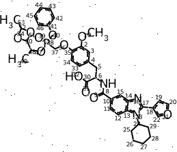 COc1cc(CC(NC(=O)c2ccc3c(c2)nc(-c2ccoc2)n3C2CCCCC2)C(=O)O)ccc1OCP(=O)(Oc1ccccc1)OC(C)C1OC(C)O1